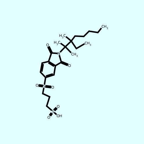 CCCCCC(C)(CC)C(C)(C)N1C(=O)c2ccc(S(=O)(=O)CCCS(=O)(=O)O)cc2C1=O